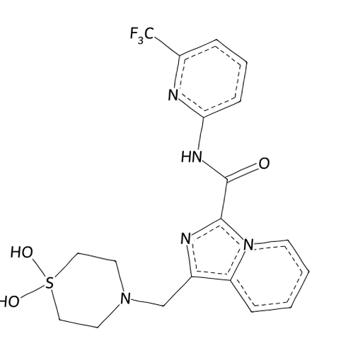 O=C(Nc1cccc(C(F)(F)F)n1)c1nc(CN2CCS(O)(O)CC2)c2ccccn12